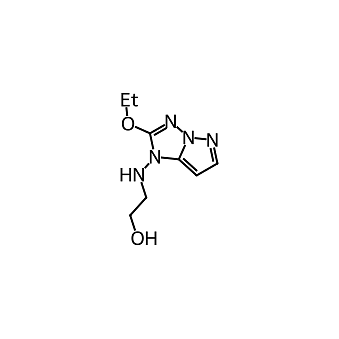 CCOc1nn2nccc2n1NCCO